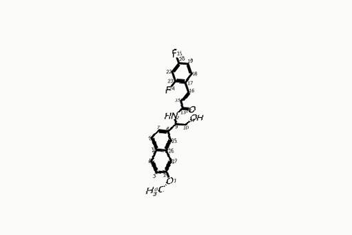 COc1ccc2ccc(C(CO)NC(=O)C=Cc3ccc(F)cc3F)cc2c1